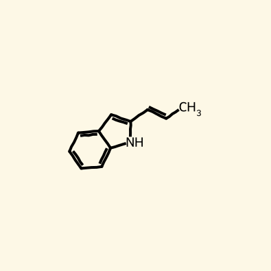 CC=Cc1cc2ccccc2[nH]1